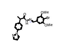 COc1cc(/C=N/NC(=O)C(C)c2ccc(-n3cccn3)cc2)cc(OC)c1Br